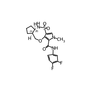 Cn1cc2c(c1C(=O)Nc1ccc(F)c(F)c1)OC[C@H]1CCC[C@H]1NS2(=O)=O